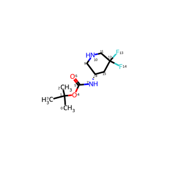 CC(C)(C)OC(=O)N[C@@H]1CNCC(F)(F)C1